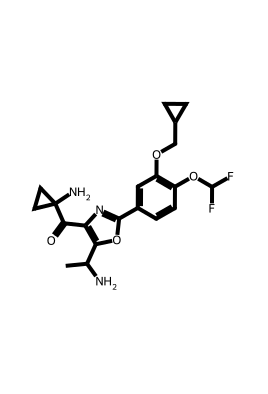 CC(N)c1oc(-c2ccc(OC(F)F)c(OCC3CC3)c2)nc1C(=O)C1(N)CC1